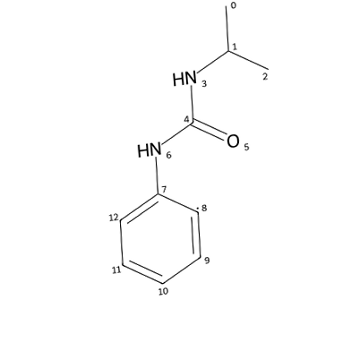 CC(C)NC(=O)Nc1[c]cccc1